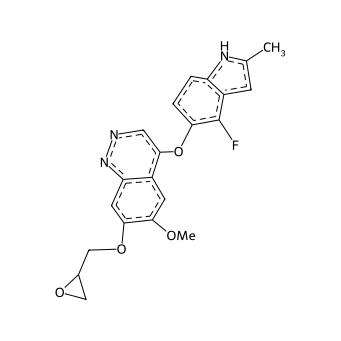 COc1cc2c(Oc3ccc4[nH]c(C)cc4c3F)cnnc2cc1OCC1CO1